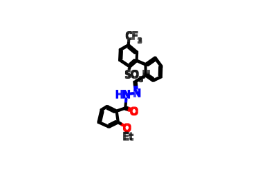 CCOc1ccccc1C(=O)NN=Cc1ccccc1-c1cc(C(F)(F)F)ccc1S(=O)(=O)O